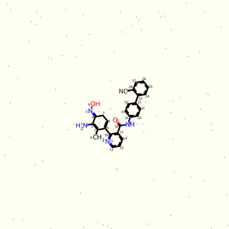 CC1=C(N)C(=NO)CC=C1c1ncccc1C(=O)Nc1ccc(-c2ccccc2C#N)cc1